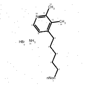 Br.CCCCCCCCCCCCCCc1ccnc(C)c1C.N